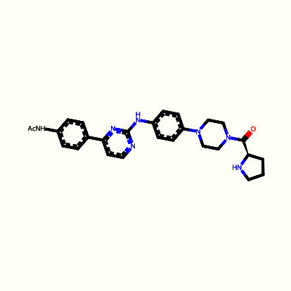 CC(=O)Nc1ccc(-c2ccnc(Nc3ccc(N4CCN(C(=O)[C@H]5CCCN5)CC4)cc3)n2)cc1